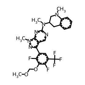 COCOc1c(F)c(-c2nn(C)c3nc(N(C)C4Cc5ccccc5N(C)C4)ncc23)cc(C(F)(F)F)c1F